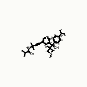 CC(C)C(=O)NC(C)(C)C#Cc1cncc(C(O)(c2ccc(C(C)C)cc2)C2(C)CN(C)C2)c1